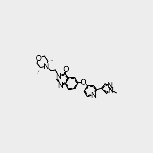 C[C@@H]1COC[C@H](C)N1CCn1cnc2ccc(Oc3ccnc(-c4cnn(C)c4)c3)cc2c1=O